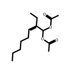 CCCCCC=C(CC)C(OC(C)=O)OC(C)=O